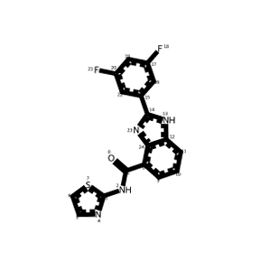 O=C(Nc1nccs1)c1cccc2[nH]c(-c3cc(F)cc(F)c3)nc12